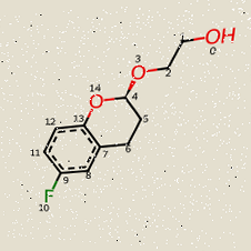 OCCO[C@H]1CCc2cc(F)ccc2O1